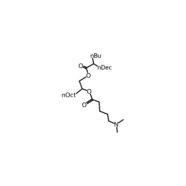 CCCCCCCCCCC(CCCC)C(=O)OCC(CCCCCCCC)OC(=O)CCCCN(C)C